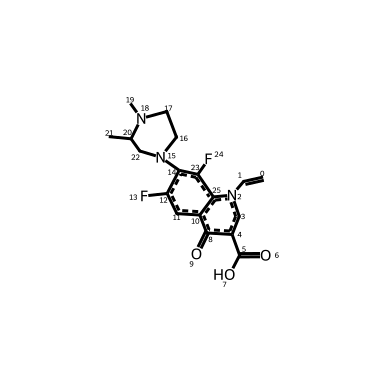 C=Cn1cc(C(=O)O)c(=O)c2cc(F)c(N3CCN(C)C(C)C3)c(F)c21